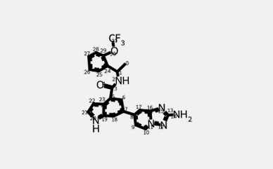 CC(NC(=O)c1cc(-c2ccn3nc(N)nc3c2)cc2[nH]ccc12)c1ccccc1OC(F)(F)F